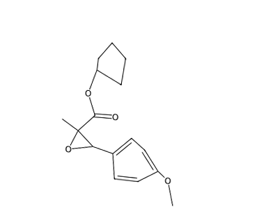 COc1ccc(C2OC2(C)C(=O)OC2CCCC2)cc1